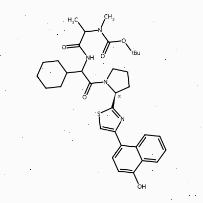 CC(C(=O)NC(C(=O)N1CCC[C@H]1c1nc(-c2ccc(O)c3ccccc23)cs1)C1CCCCC1)N(C)C(=O)OC(C)(C)C